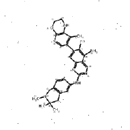 Cc1c(-c2cc3nc(Nc4ccc5c(c4)CC(C)(C)N(C)C5)ncc3c(N)c2F)cnc2c1NCCO2